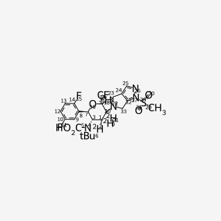 [2H]C1([2H])[C@H](N(C(=O)O)C(C)(C)C)[C@@H](c2cc(F)ccc2F)OC([2H])(C(F)(F)F)C1([2H])N1Cc2cnn(S(C)(=O)=O)c2C1